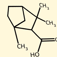 CC12CCC(C1)C(C)(C)C2C(=O)O